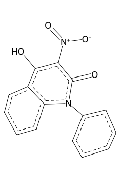 O=c1c([N+](=O)[O-])c(O)c2ccccc2n1-c1ccccc1